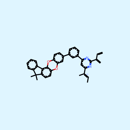 C=CC(=C)c1nc(/C(C)=C/C)cc(-c2cccc(-c3ccc4c(c3)Oc3ccc5c(c3O4)-c3ccccc3C5(C)C)c2)n1